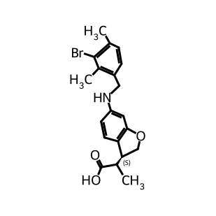 Cc1ccc(CNc2ccc3c(c2)OC[C@H]3C(C)C(=O)O)c(C)c1Br